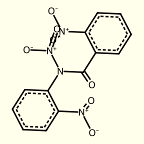 O=C(c1ccccc1[N+](=O)[O-])N(c1ccccc1[N+](=O)[O-])[N+](=O)[O-]